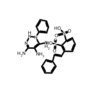 NC1=NNN(c2ccccc2)C(N)=C1N.O=S(=O)(O)c1cccc(C=Cc2ccccc2)c1S(=O)(=O)O